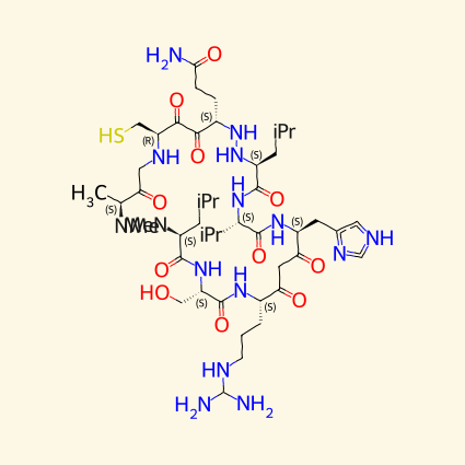 CN[C@@H](C)C(=O)CN[C@@H](CS)C(=O)C(=O)[C@H](CCC(N)=O)NN[C@@H](CC(C)C)C(=O)N[C@H](C(=O)N[C@@H](Cc1c[nH]cn1)C(=O)CC(=O)[C@H](CCCNC(N)N)NC(=O)[C@H](CO)NC(=O)[C@H](CC(C)C)NC)C(C)C